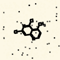 Cc1ccnc2cc(Cl)nc(Cl)c12